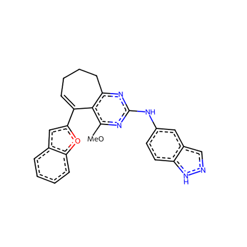 COc1nc(Nc2ccc3[nH]ncc3c2)nc2c1C(c1cc3ccccc3o1)=CCCC2